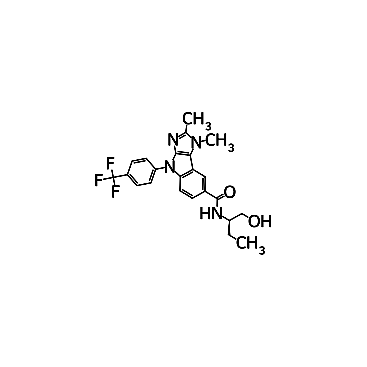 CC[C@H](CO)NC(=O)c1ccc2c(c1)c1c(nc(C)n1C)n2-c1ccc(C(F)(F)F)cc1